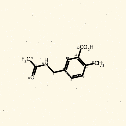 Cc1ccc(CNC(=O)C(F)(F)F)cc1C(=O)O